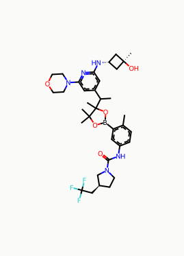 Cc1ccc(NC(=O)N2CC[C@@H](CC(F)(F)F)C2)cc1B1OC(C)(C)C(C)(C(C)c2cc(N[C@H]3C[C@](C)(O)C3)nc(N3CCOCC3)c2)O1